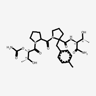 Cc1ccc(CC2(C(=O)N[C@H](C(N)=O)[C@@H](C)O)CCCN2C(=O)C2CCCN2C(=O)[C@@H](OC(N)=O)[C@@H](C)O)cc1